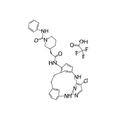 O=C(C[C@@H]1CCCN(C(=O)Nc2ccccc2)C1)Nc1ccc2cc1CCc1cccc(c1)Nc1ncc(Cl)c(n1)N2.O=C(O)C(F)(F)F